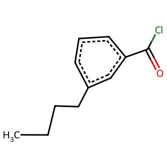 CCCCc1cccc(C(=O)Cl)c1